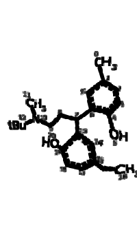 Cc1ccc(O)c(C(CCN(C)C(C)(C)C)c2cc(C)ccc2O)c1